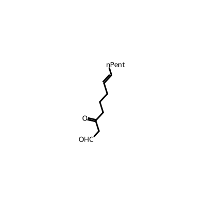 CCCCCC=CCCCC(=O)CC=O